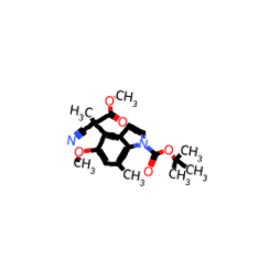 COC(=O)C(C)(C#N)c1c(OC)cc(C)c2c1ccn2C(=O)OC(C)(C)C